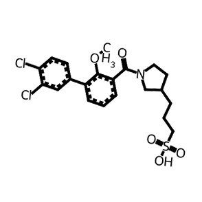 COc1c(C(=O)N2CCC(CCCS(=O)(=O)O)C2)cccc1-c1ccc(Cl)c(Cl)c1